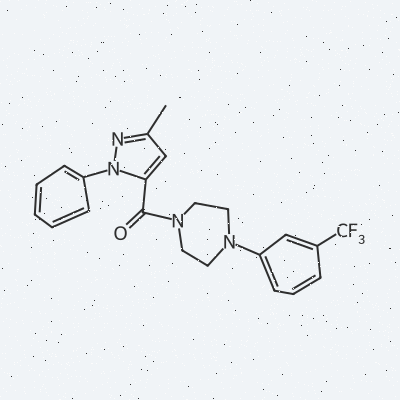 Cc1cc(C(=O)N2CCN(c3cccc(C(F)(F)F)c3)CC2)n(-c2ccccc2)n1